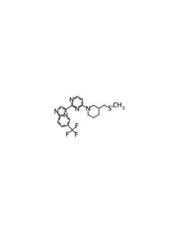 CSCC1CCCN(c2ccnc(-c3cnc4ccc(C(F)(F)F)cn34)n2)C1